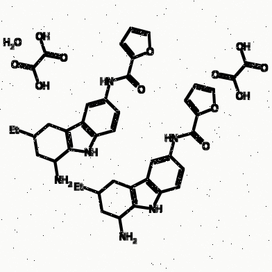 CCC1Cc2c([nH]c3ccc(NC(=O)c4ccco4)cc23)C(N)C1.CCC1Cc2c([nH]c3ccc(NC(=O)c4ccco4)cc23)C(N)C1.O.O=C(O)C(=O)O.O=C(O)C(=O)O